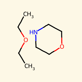 C1COCCN1.CCOCC